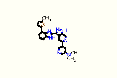 Cc1ccc(-c2cccc3[nH]c(-c4n[nH]c5cnc(-c6cncc(N(C)C)c6)cc45)nc23)s1